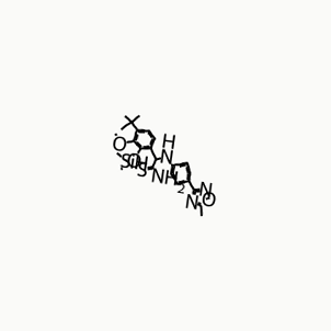 COc1c(C(C)(C)C)ccc(C(Nc2ccc(-c3noc(C)n3)cc2)C(N)=S)c1O[SiH](C)C